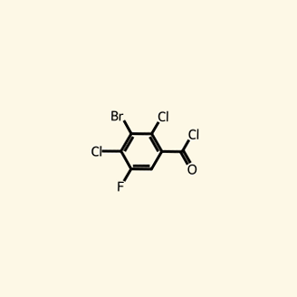 O=C(Cl)c1cc(F)c(Cl)c(Br)c1Cl